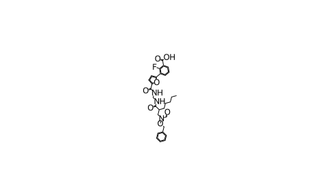 CCCCCC(CN(C=O)OCc1ccccc1)C(=O)NCNC(=O)c1ccc(-c2cccc(C(=O)O)c2F)o1